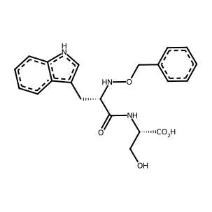 O=C(O)[C@H](CO)NC(=O)[C@H](Cc1c[nH]c2ccccc12)NOCc1ccccc1